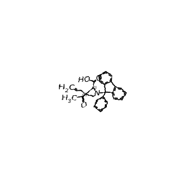 C=CC[C@]1(C(C)=O)CN(C2(c3ccccc3)c3ccccc3-c3ccccc32)[C@@H]1C(=O)O